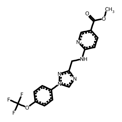 COC(=O)c1ccc(NCc2ncn(-c3ccc(OC(F)(F)F)cc3)n2)nc1